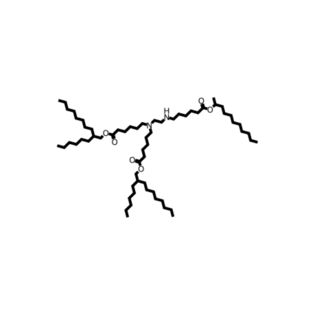 CCCCCCCCCC(C)OC(=O)CCCCCNCCN(CCCCCC(=O)OCC(CCCCCC)CCCCCCCC)CCCCCC(=O)OCC(CCCCCC)CCCCCCCC